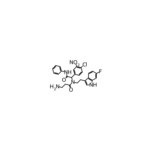 NCCC(=O)N(CCc1c[nH]c2cc(F)ccc12)C(C(=O)Nc1ccccc1)c1ccc(Cl)c([N+](=O)[O-])c1